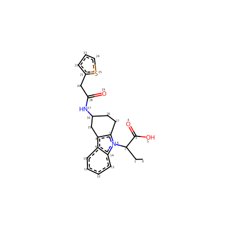 CCC(C(=O)O)n1c2c(c3ccccc31)CC(NC(=O)Cc1cccs1)CC2